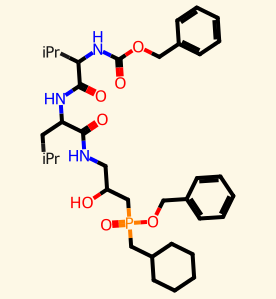 CC(C)CC(NC(=O)C(NC(=O)OCc1ccccc1)C(C)C)C(=O)NCC(O)CP(=O)(CC1CCCCC1)OCc1ccccc1